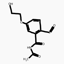 CC(=O)NC(=O)c1cc(OCCO)ccc1I=O